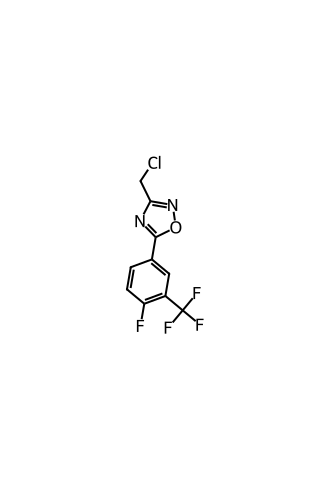 Fc1ccc(-c2nc(CCl)no2)cc1C(F)(F)F